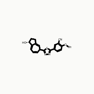 CC(C)Oc1ccc(-c2nnc(C3C=CC=C4C(=C3)CC[C@H]4O)s2)cc1C#N